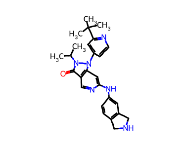 CC(C)n1c(=O)c2cnc(Nc3ccc4c(c3)CNC4)cc2n1-c1ccnc(C(C)(C)C)c1